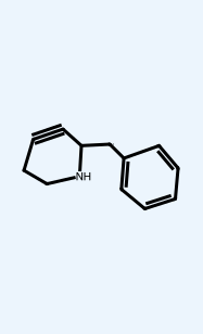 C1#CC([CH]c2ccccc2)NCC1